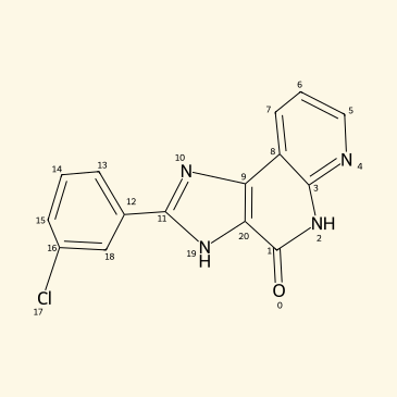 O=c1[nH]c2ncccc2c2nc(-c3cccc(Cl)c3)[nH]c12